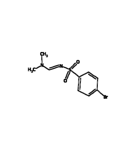 CN(C)C=NS(=O)(=O)c1ccc(Br)cc1